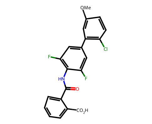 COc1ccc(Cl)c(-c2cc(F)c(NC(=O)c3ccccc3C(=O)O)c(F)c2)c1